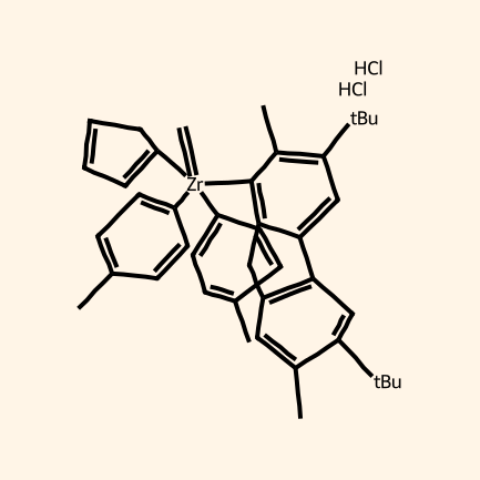 Cl.Cl.[CH2]=[Zr]([C]1=CC=CC1)([c]1ccc(C)cc1)([c]1ccc(C)cc1)[c]1c(C)c(C(C)(C)C)cc2c1Cc1cc(C)c(C(C)(C)C)cc1-2